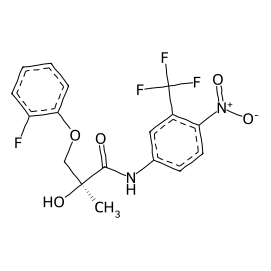 C[C@](O)(COc1ccccc1F)C(=O)Nc1ccc([N+](=O)[O-])c(C(F)(F)F)c1